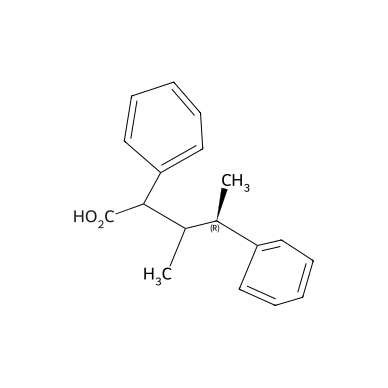 CC(C(C(=O)O)c1ccccc1)[C@@H](C)c1ccccc1